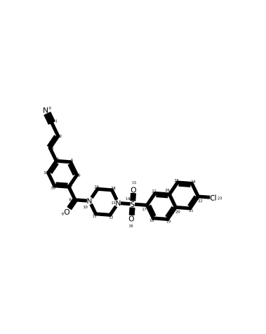 N#CC=Cc1ccc(C(=O)N2CCN(S(=O)(=O)c3ccc4cc(Cl)ccc4c3)CC2)cc1